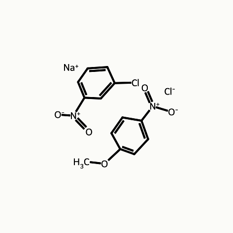 COc1ccc([N+](=O)[O-])cc1.O=[N+]([O-])c1cccc(Cl)c1.[Cl-].[Na+]